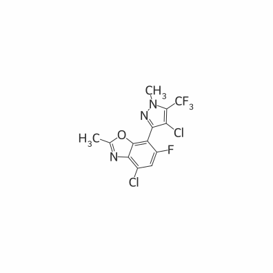 Cc1nc2c(Cl)cc(F)c(-c3nn(C)c(C(F)(F)F)c3Cl)c2o1